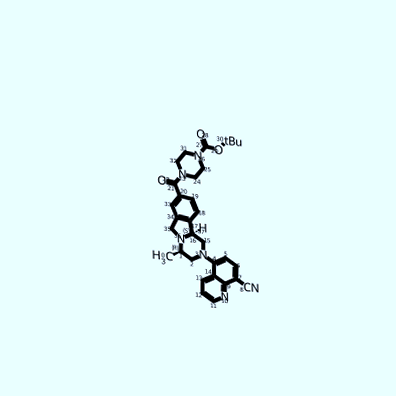 C[C@@H]1CN(c2ccc(C#N)c3ncccc23)C[C@@H]2c3ccc(C(=O)N4CCN(C(=O)OC(C)(C)C)CC4)cc3CN12